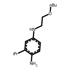 CCCCOCCNc1ccc(N)c(C(C)C)c1